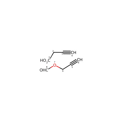 C#CCC(=O)O.C#CCOC=O